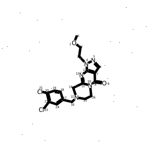 COCCn1ncc2c(=O)n3c(nc21)CN(Cc1ccc(Cl)c(Cl)c1)CC3